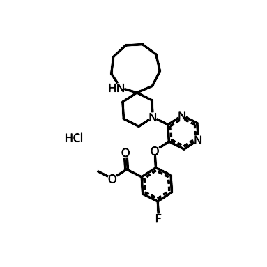 COC(=O)c1cc(F)ccc1Oc1cncnc1N1CCCC2(CCCCCCCN2)C1.Cl